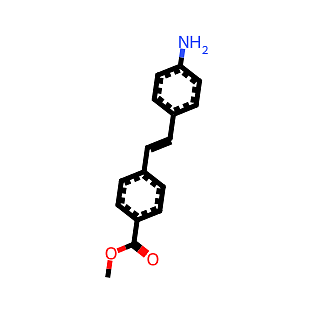 COC(=O)c1ccc(C=Cc2ccc(N)cc2)cc1